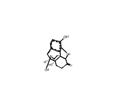 O=C1CC[C@@]2(O)[C@H]3Cc4ccc(O)c5c4[C@@]2(CCN3O)[C@H]1O5